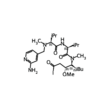 CC[C@H](C)[C@@H]([C@@H](CC(=O)I)OC)N(C)C(=O)[C@@H](NC(=O)[C@H](C(C)C)N(C)Cc1ccnc(N)c1)C(C)C